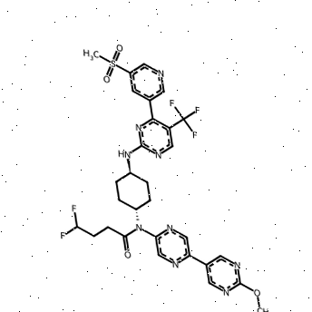 COc1ncc(-c2cnc(N(C(=O)CCC(F)F)[C@H]3CC[C@H](Nc4ncc(C(F)(F)F)c(-c5cncc(S(C)(=O)=O)c5)n4)CC3)cn2)cn1